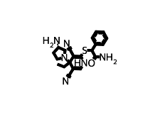 CCC1(N2CC[C@H](N)C2)C(C#N)=CNC(SC(C(N)=O)c2ccccc2)=C1C#N